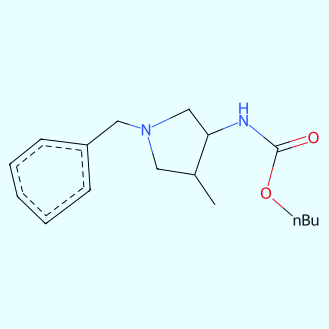 CCCCOC(=O)NC1CN(Cc2ccccc2)CC1C